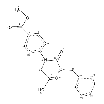 COC(=O)c1ccc(N(CC(=O)O)C(=O)OCc2ccccc2)cc1